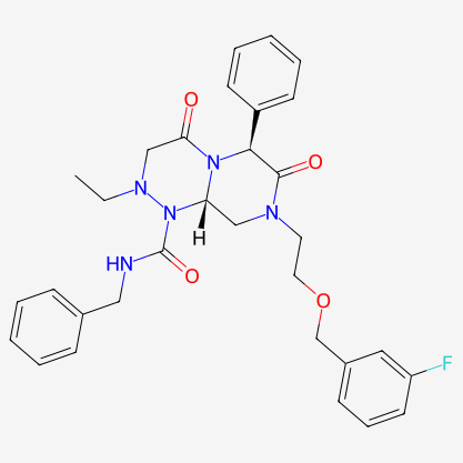 CCN1CC(=O)N2[C@@H](c3ccccc3)C(=O)N(CCOCc3cccc(F)c3)C[C@@H]2N1C(=O)NCc1ccccc1